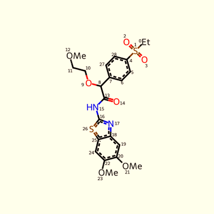 CCS(=O)(=O)c1ccc(C(OCCOC)C(=O)Nc2nc3cc(OC)c(OC)cc3s2)cc1